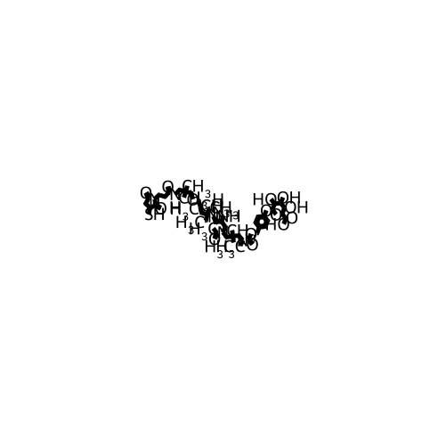 CCC(C)(CN(C)C(=O)OCc1ccc(OC2OC(C(=O)O)C(O)C(O)C2O)cc1)CN(CC1=CN(C(CC)(CC)CC(C)(C)COCC(C)(C)CNC(=O)CCN2C(=O)CC(S)C2=O)NN1)C(C)=O